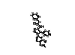 Cc1ccc(-c2noc(NC(=O)Cc3ccccc3)c2-c2ccncc2)cc1F